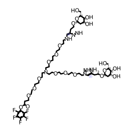 N=N/C(=C\NCCOCCOCCOCCN(CCOCCOCCOCCC(=O)Oc1c(F)c(F)c(F)c(F)c1F)CCOCCOCCOCCN(N)/C=C(\N)CCO[C@H]1C[C@@H](O)[C@@H](O)[C@@H](CO)O1)CCO[C@H]1C[C@@H](O)[C@@H](O)[C@@H](CO)O1